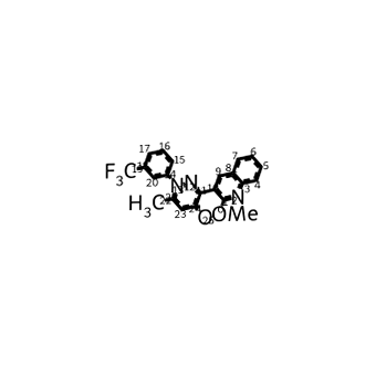 COc1nc2ccccc2cc1-c1nn(-c2cccc(C(F)(F)F)c2)c(C)cc1=O